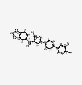 Cc1ccc(-c2ccc(-c3cc(N(C)c4ccc5c(c4)OCO5)n(C)n3)cc2)cc1C